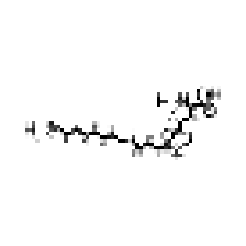 CCCCCCCCCCCCCC(=O)OC(=O)CC[C@H](N)C(=O)O